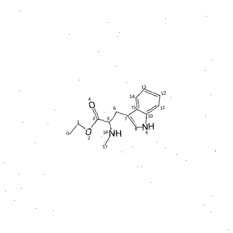 CCOC(=O)C(Cc1c[nH]c2ccccc12)NC